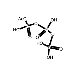 CC(=O)OP(=O)(O)OP(=O)(O)OP(=O)(O)O